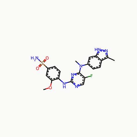 COc1cc(S(N)(=O)=O)ccc1Nc1ncc(F)c(N(C)c2ccc3c(C)n[nH]c3c2)n1